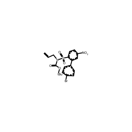 C=CCN(C(=O)OC(C)(C)C)S(=O)(=O)c1ccc([N+](=O)[O-])cc1-c1ccc(Br)cc1